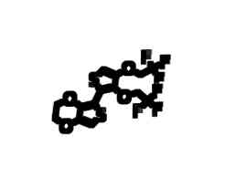 FC(F)(F)COc1csc(-c2scc3c2OCCO3)c1OCC(F)(F)F